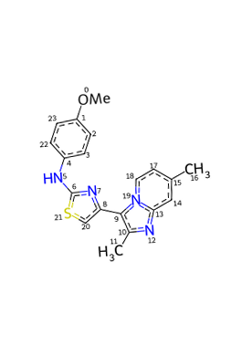 COc1ccc(Nc2nc(-c3c(C)nc4cc(C)ccn34)cs2)cc1